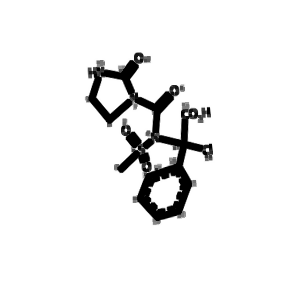 CS(=O)(=O)N(C(=O)N1CCNC1=O)C(Cl)(C(=O)O)c1ccccc1